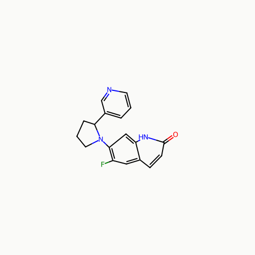 O=c1ccc2cc(F)c(N3CCCC3c3cccnc3)cc2[nH]1